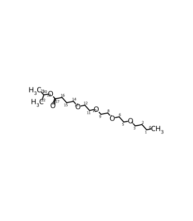 CCCCOCCOCCOCCOCCCC(=O)OC(C)C